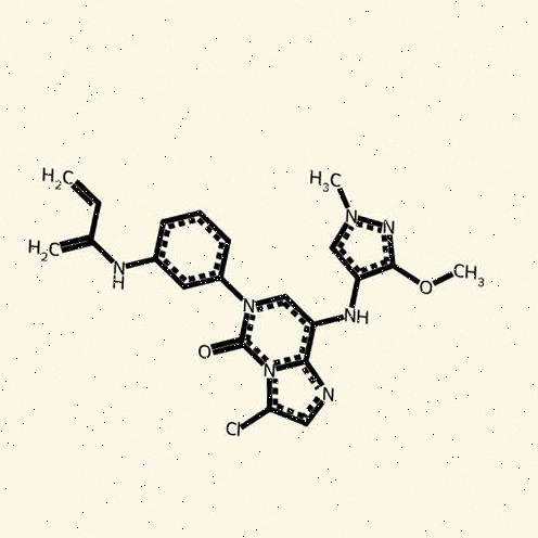 C=CC(=C)Nc1cccc(-n2cc(Nc3cn(C)nc3OC)c3ncc(Cl)n3c2=O)c1